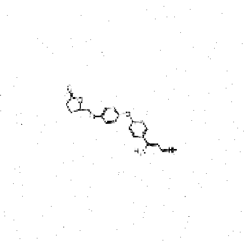 C[C@]1(COc2ccc(Oc3ccc(/C(N)=C/C=N)cc3)cc2)CCC(=O)O1